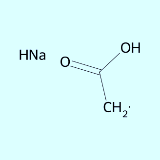 [CH2]C(=O)O.[NaH]